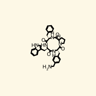 NCc1ccc(C[C@@H]2NC(=O)[C@@H](Cc3c[nH]c4ccccc34)NC(=O)[C@H](Cc3ccccc3)NC(=O)[C@H]3CCCN3C2=O)cc1